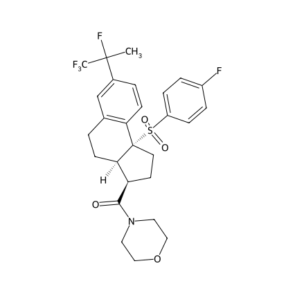 CC(F)(c1ccc2c(c1)CC[C@@H]1[C@H](C(=O)N3CCOCC3)CC[C@]21S(=O)(=O)c1ccc(F)cc1)C(F)(F)F